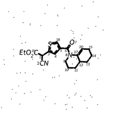 CCOC(=O)C(C#N)c1cc(C(=O)N2CCCC3CCCC=C32)cs1